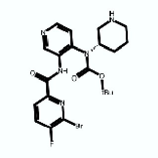 CC(C)(C)OC(=O)N(c1ccncc1NC(=O)c1ccc(F)c(Br)n1)[C@H]1CCCNC1